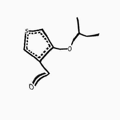 CC(C)Oc1cscc1C=O